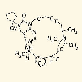 CC1CCCCCCn2c(=O)c(C3(C#N)CCCC3)cc3c(ncnc32)N[C@H](C)c2cccc(c2F)C(F)(F)C2CC(C)N1C(C)C2